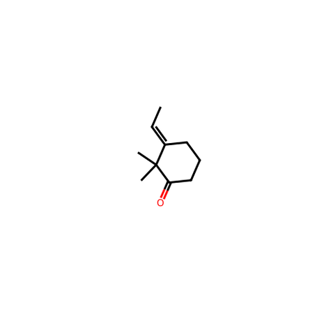 CC=C1CCCC(=O)C1(C)C